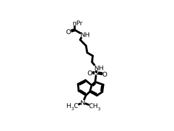 CCCC(=O)NCCCCCNS(=O)(=O)c1cccc2c(N(C)C)cccc12